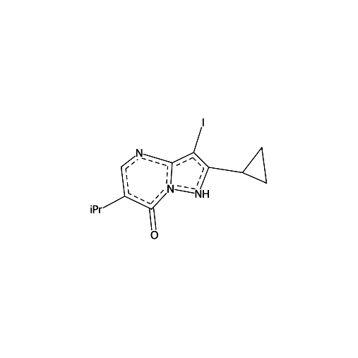 CC(C)c1cnc2c(I)c(C3CC3)[nH]n2c1=O